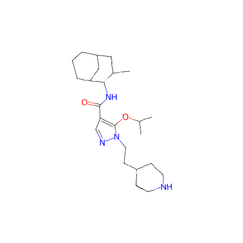 CC(C)Oc1c(C(=O)NC2C(C)CC3CCCC2C3)cnn1CCC1CCNCC1